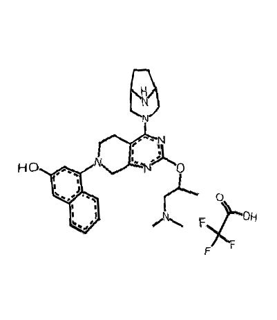 CC(CN(C)C)Oc1nc2c(c(N3CC4CCC(C3)N4)n1)CCN(c1cc(O)cc3ccccc13)C2.O=C(O)C(F)(F)F